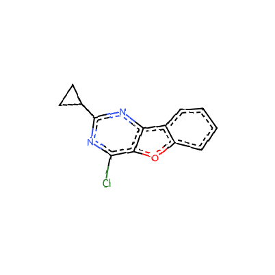 Clc1nc(C2CC2)nc2c1oc1ccccc12